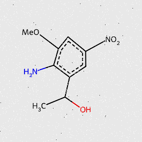 COc1cc([N+](=O)[O-])cc(C(C)O)c1N